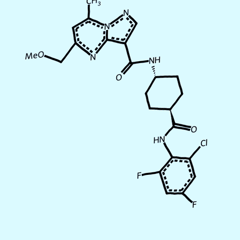 COCc1cc(C)n2ncc(C(=O)N[C@H]3CC[C@H](C(=O)Nc4c(F)cc(F)cc4Cl)CC3)c2n1